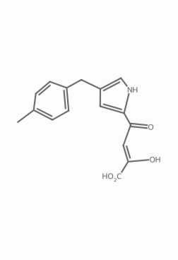 Cc1ccc(Cc2c[nH]c(C(=O)C=C(O)C(=O)O)c2)cc1